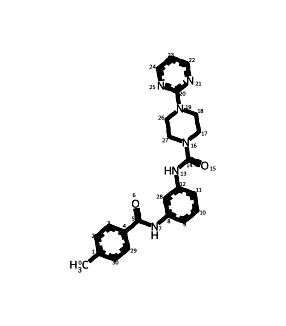 Cc1ccc(C(=O)Nc2cccc(NC(=O)N3CCN(c4ncccn4)CC3)c2)cc1